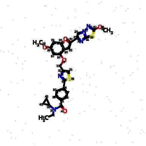 CCN(C(=O)c1ccc(-c2nc(COc3cc(OC)cc4oc(-c5cn6nc(OC)sc6n5)cc34)cs2)cc1)C1CC1